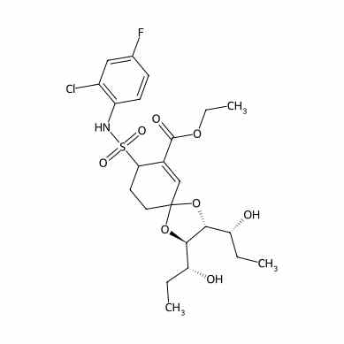 CCOC(=O)C1=CC2(CCC1S(=O)(=O)Nc1ccc(F)cc1Cl)O[C@H]([C@H](O)CC)[C@@H]([C@H](O)CC)O2